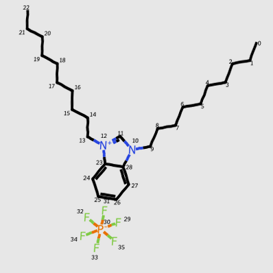 CCCCCCCCCCn1c[n+](CCCCCCCCCC)c2ccccc21.F[P-](F)(F)(F)(F)F